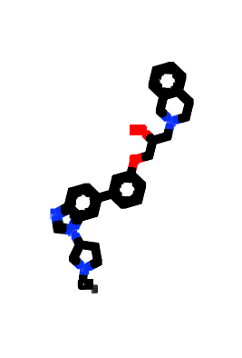 CN1CCC(n2cnc3ccc(-c4cccc(OCC(O)CN5CCc6ccccc6C5)c4)cc32)C1